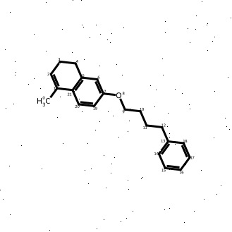 CC1=CCCc2cc(OCCCCc3ccccc3)ccc21